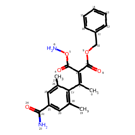 C/C(=C(/C(=O)ON)C(=O)OCc1ccccc1)c1c(C)cc(C(N)=O)cc1C